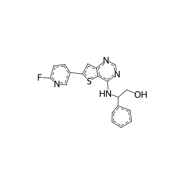 OCC(Nc1ncnc2cc(-c3ccc(F)nc3)sc12)c1ccccc1